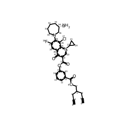 C#CCC(CC#C)COC(=O)c1cccc(OC(=O)c2cn(C3CC3)c3c(Cl)c(N4CCCC[C@H](N)C4)c(F)cc3c2=O)c1